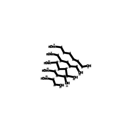 CCCCCCCCCCCCCCCCO.CCCCCCCCCCCCCCCO.CCCCCCCCCCCCCCO.CCCCCCCCCCCCCO.CCCCCCCCCCCCO